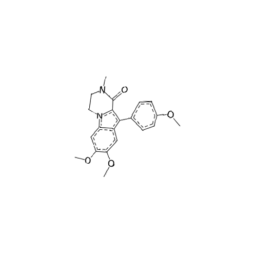 COc1ccc(-c2c3n(c4cc(OC)c(OC)cc24)CCN(C)C3=O)cc1